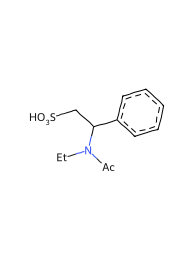 CCN(C(C)=O)C(CS(=O)(=O)O)c1ccccc1